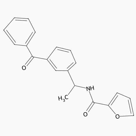 CC(NC(=O)c1ccco1)c1cccc(C(=O)c2ccccc2)c1